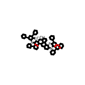 CC1(C)c2cc(N(c3ccccc3-c3ccccc3)c3cc(-c4ccccc4)cc(-c4ccccc4)c3F)ccc2-c2cc3ccc(N(c4ccccc4-c4ccccc4)c4cc(-c5ccccc5)cc(-c5ccccc5)c4F)cc3c3cccc1c23